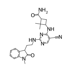 CN1C(=O)C(CCNc2ncc(C#N)c(NC3CC(C(N)=O)C3(C)C)n2)c2ccccc21